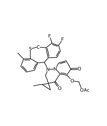 CC(=O)OCOc1c2n(ccc1=O)N(C1c3ccc(F)c(F)c3CSc3c(C)cccc31)CC1(CC1C)C2=O